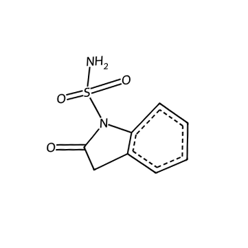 NS(=O)(=O)N1C(=O)Cc2ccccc21